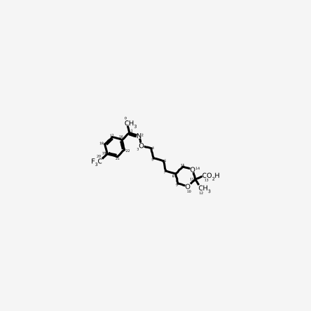 C/C(=N/OCCCCC1COC(C)(C(=O)O)OC1)c1ccc(C(F)(F)F)cc1